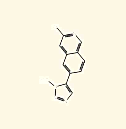 Cn1nncc1-c1ccc2cnc(Cl)cc2c1